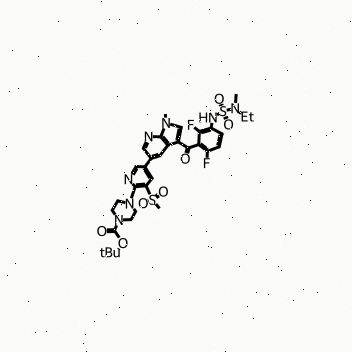 CCN(C)S(=O)(=O)Nc1ccc(F)c(C(=O)c2cn(C)c3ncc(-c4cnc(N5CCN(C(=O)OC(C)(C)C)CC5)c(S(C)(=O)=O)c4)cc23)c1F